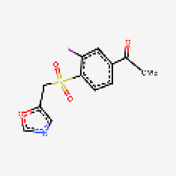 COC(=O)c1ccc(S(=O)(=O)Cc2cnco2)c(I)c1